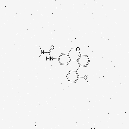 COc1ccccc1-c1cccc2c1-c1ccc(NC(=O)N(C)C)cc1CO2